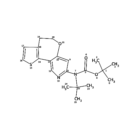 CC(C)(C)OC(=O)N(c1cc2c(cn1)-c1sccc1CCO2)C(C)(C)C